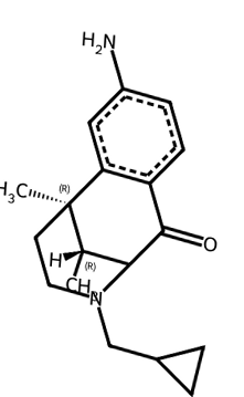 C[C@H]1C2C(=O)c3ccc(N)cc3[C@]1(C)CCN2CC1CC1